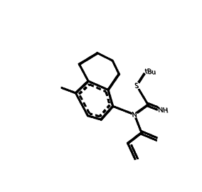 C=CC(=C)N(C(=N)SC(C)(C)C)c1ccc(C)c2c1CCCC2